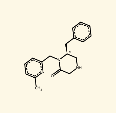 Cc1cccc(CN2C(=O)CNC[C@@H]2Cc2ccccc2)n1